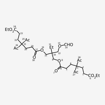 CCOC(=O)CCC(CCC(=O)OCC(CC)(COC=O)COC(=O)CCC(CCC(=O)OCC)(C(C)=O)C(C)=O)(C(C)=O)C(C)=O